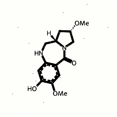 COc1cc2c(cc1O)NC[C@@H]1C[C@H](OC)CN1C2=O